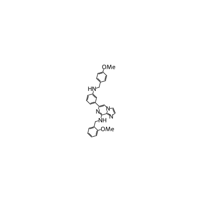 COc1ccc(CNc2cccc(-c3cn4ccnc4c(NCc4ccccc4OC)n3)c2)cc1